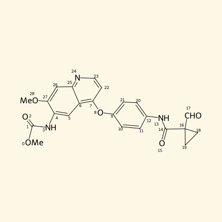 COC(=O)Nc1cc2c(Oc3ccc(NC(=O)C4(C=O)CC4)cc3)ccnc2cc1OC